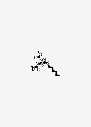 CCCCCCSc1nn(C(=O)OC)c(=NC(=O)N(C)C)s1